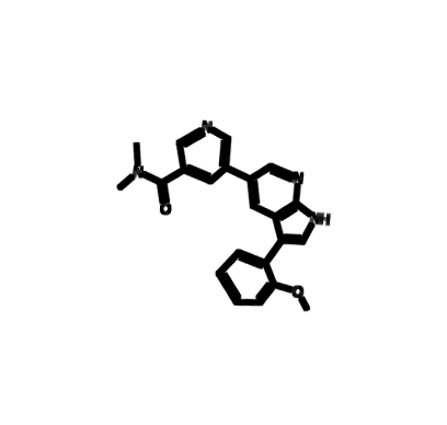 COc1ccccc1-c1c[nH]c2ncc(-c3cncc(C(=O)N(C)C)c3)cc12